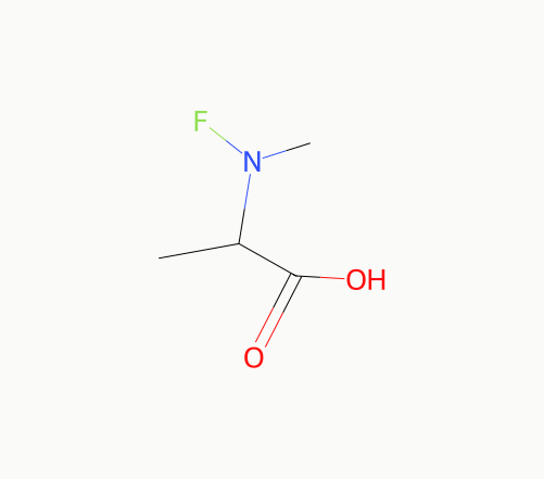 CC(C(=O)O)N(C)F